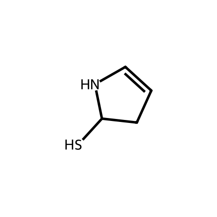 SC1CC=CN1